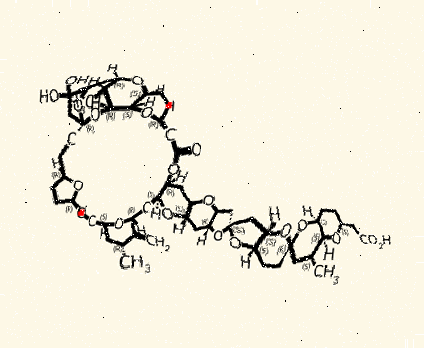 C=C1[C@H](C)C[C@@H]2CC[C@H]3CC[C@H](CC[C@]45CC(O)(O)C(O4)[C@@H]4O[C@H]6CC[C@H](CC(=O)O[C@@H]7CC8OC9C[C@@]%10(C[C@@H]%11O[C@@]%12(CC[C@@H]%11O%10)C[C@H](C)[C@@H]%10O[C@H](CC(=O)O)CC[C@@H]%10O%12)O[C@@H]9C[C@@H]8O[C@H]7C[C@H]1O2)O[C@@H]6[C@H](O5)[C@@H]4C)O3